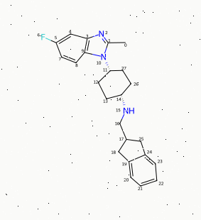 Cc1nc2cc(F)ccc2n1[C@H]1CC[C@@H](NCC2Cc3ccccc3C2)CC1